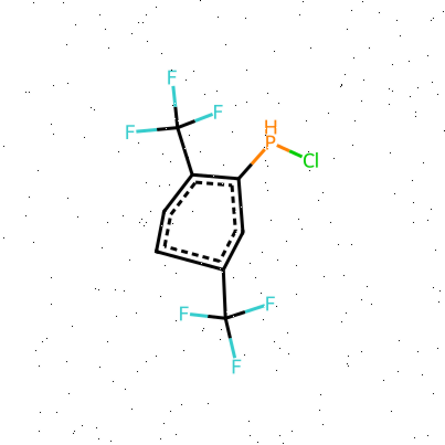 FC(F)(F)c1ccc(C(F)(F)F)c(PCl)c1